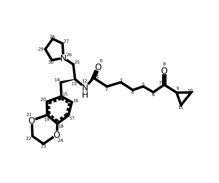 O=C(CCCCCC(=O)C1CC1)N[C@@H](Cc1ccc2c(c1)OCCO2)CN1CCCC1